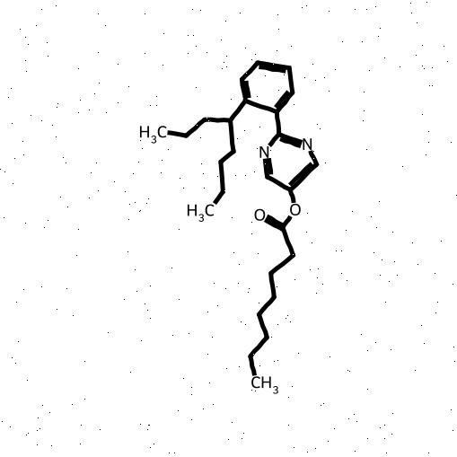 CCCCCCCC(=O)Oc1cnc(-c2ccccc2C(CCC)CCCC)nc1